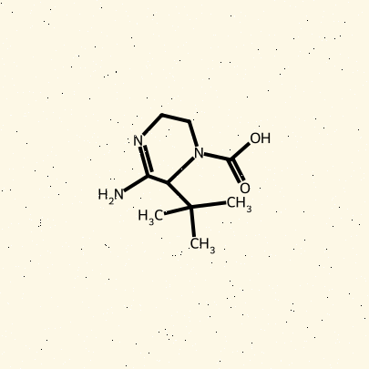 CC(C)(C)C1C(N)=NCCN1C(=O)O